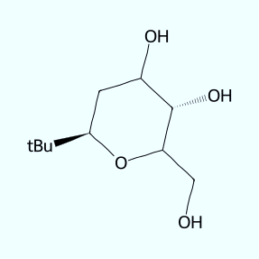 CC(C)(C)[C@H]1CC(O)[C@H](O)C(CO)O1